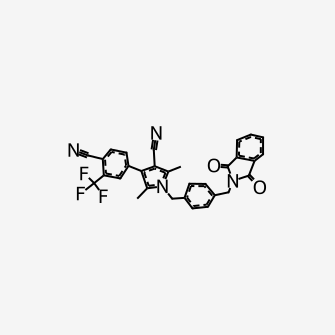 Cc1c(C#N)c(-c2ccc(C#N)c(C(F)(F)F)c2)c(C)n1Cc1ccc(CN2C(=O)c3ccccc3C2=O)cc1